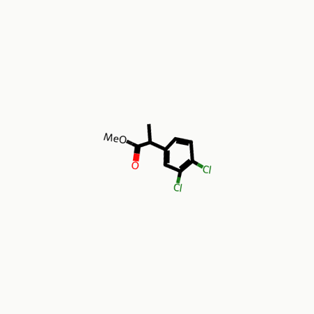 COC(=O)C(C)c1ccc(Cl)c(Cl)c1